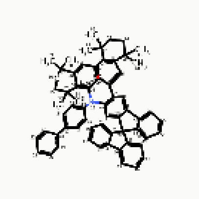 Cc1cc2c(cc1-c1cc3c(cc1N(c1ccc(-c4ccccc4)cc1)c1cccc4c1C(C)(C)CCC4(C)C)C1(c4ccccc4-c4ccccc41)c1ccccc1-3)C(C)(C)CCC2(C)C